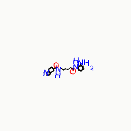 Cn1ccc2cc(C(=O)NCCCCCC(=O)Nc3ccccc3N)ccc21